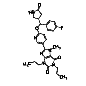 CCCn1c(=O)c2c(nc(-c3ccc(OC(c4ccc(F)cc4)C4CNC(=O)C4)nc3)n2C)n(CCC)c1=O